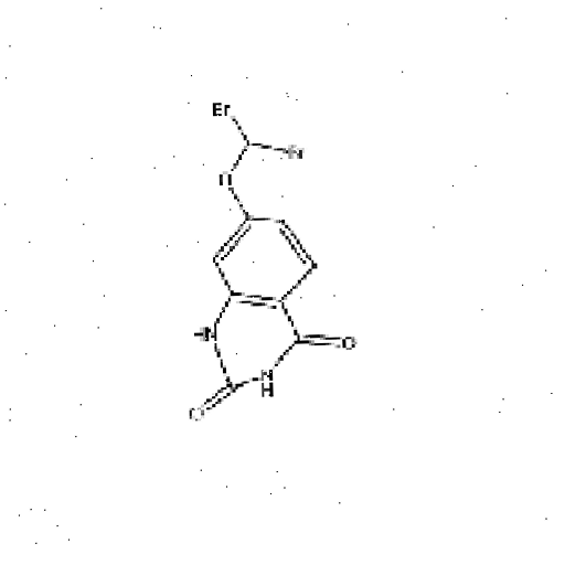 O=c1[nH]c(=O)c2ccc(OC(Br)Br)cc2[nH]1